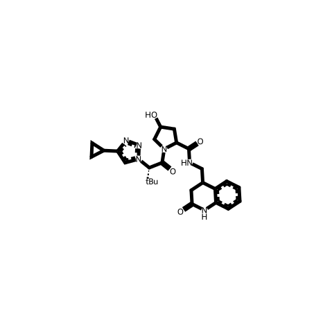 CC(C)(C)[C@@H](C(=O)N1CC(O)CC1C(=O)NCC1CC(=O)Nc2ccccc21)n1cc(C2CC2)nn1